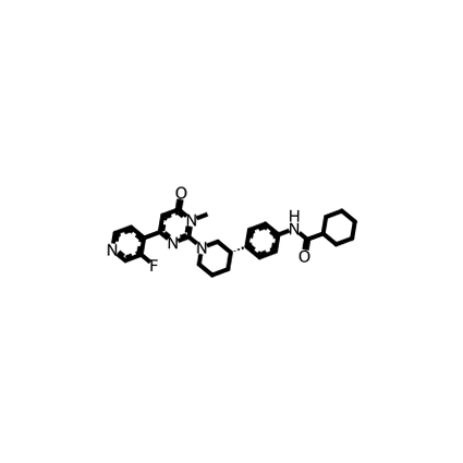 Cn1c(N2CCC[C@@H](c3ccc(NC(=O)C4CCCCC4)cc3)C2)nc(-c2ccncc2F)cc1=O